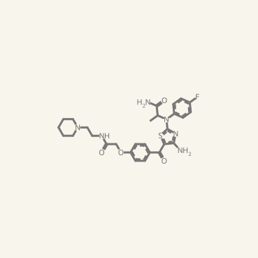 CC(C(N)=O)N(c1ccc(F)cc1)c1nc(N)c(C(=O)c2ccc(OCC(=O)NCCN3CCCCC3)cc2)s1